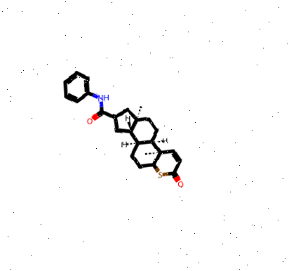 C[C@]12CC[C@@H]3[C@@H](CCC4SC(=O)C=C[C@@]43C)[C@@H]1CC(C(=O)Nc1ccccc1)C2